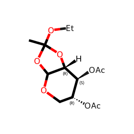 CCOC1(C)OC2OC[C@@H](OC(C)=O)[C@H](OC(C)=O)[C@H]2O1